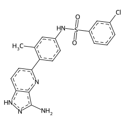 Cc1cc(NS(=O)(=O)c2cccc(Cl)c2)ccc1-c1ccc2[nH]nc(N)c2n1